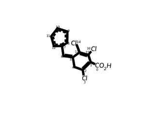 O=C(O)C1=C(Cl)CC(=Cc2ccccc2)C(Cl)=C1Cl